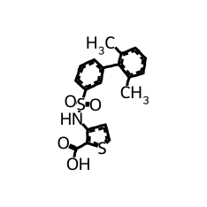 Cc1cccc(C)c1-c1cccc(S(=O)(=O)Nc2ccsc2C(=O)O)c1